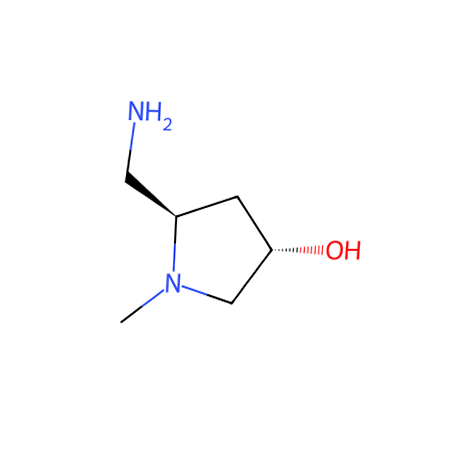 CN1C[C@@H](O)C[C@@H]1CN